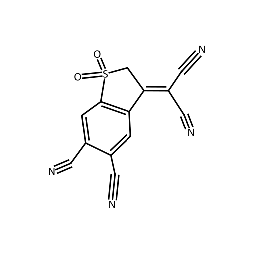 N#CC(C#N)=C1CS(=O)(=O)c2cc(C#N)c(C#N)cc21